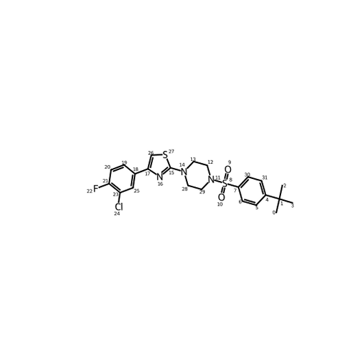 CC(C)(C)c1ccc(S(=O)(=O)N2CCN(c3nc(-c4ccc(F)c(Cl)c4)cs3)CC2)cc1